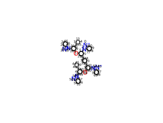 C[n+]1cn(-c2cc(Oc3cc(C4CCCC4)cc(-n4c[n+](C)c5ccccc54)c3)cc(-c3ccc(-c4cc(Oc5cc(C6CCCC6)cc(-n6c[n+](C)c7ccccc76)c5)cc(-n5c[n+](C)c6ccccc65)c4)cc3)c2)c2ccccc21